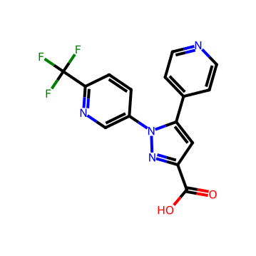 O=C(O)c1cc(-c2ccncc2)n(-c2ccc(C(F)(F)F)nc2)n1